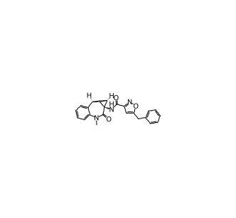 CN1C(=O)[C@]2(NC(=O)c3cc(Cc4ccccc4)on3)C3[C@@H](c4ccccc41)[C@H]32